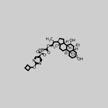 CC[C@H]1[C@@H](O)[C@@H]2[C@H](CC[C@]3(C)[C@@H]([C@H](C)COC(=O)NS(=O)(=O)c4cnc(OC5CCC5)nc4)CC[C@@H]23)[C@@]2(C)CC[C@@H](O)C[C@@H]12